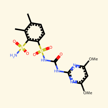 COc1cc(OC)nc(NC(=O)NS(=O)(=O)c2ccc(C)c(C)c2S(N)(=O)=O)n1